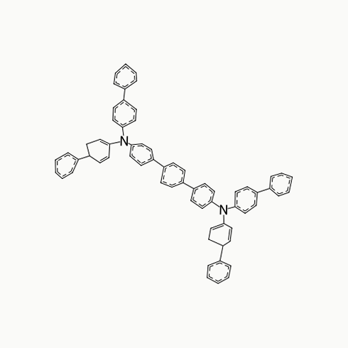 C1=CC(c2ccccc2)CC=C1N(c1ccc(-c2ccccc2)cc1)c1ccc(-c2ccc(-c3ccc(N(C4=CCC(c5ccccc5)C=C4)c4ccc(-c5ccccc5)cc4)cc3)cc2)cc1